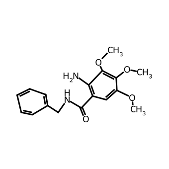 COc1cc(C(=O)NCc2ccccc2)c(N)c(OC)c1OC